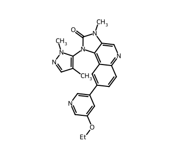 CCOc1cncc(-c2ccc3ncc4c(c3c2)n(-c2c(C)cnn2C)c(=O)n4C)c1